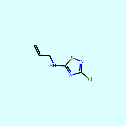 C=CCNc1nc(Cl)ns1